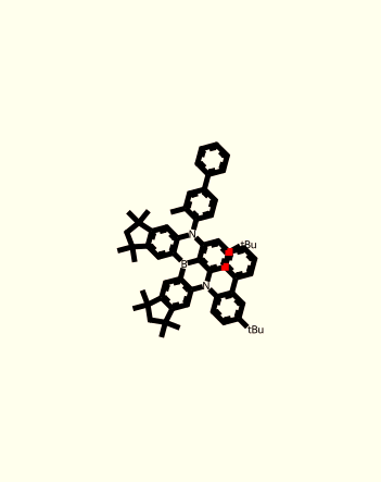 Cc1cc(-c2ccccc2)ccc1N1c2cc3c(cc2B2c4cc5c(cc4N(c4ccc(C(C)(C)C)cc4-c4ccccc4)c4cc(C(C)(C)C)cc1c42)C(C)(C)CC5(C)C)C(C)(C)CC3(C)C